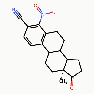 C[C@]12CCC3c4ccc(C#N)c([N+](=O)[O-])c4CCC3C1CCC2=O